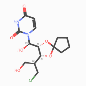 O=c1ccn([C@H](O)[C@@H]2OC3(CCCC3)O[C@@H]2[C@H](CO)CCl)c(=O)[nH]1